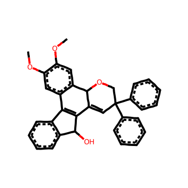 COc1cc2c(cc1OC)C1OCC(c3ccccc3)(c3ccccc3)C=C1C1=C2c2ccccc2C1O